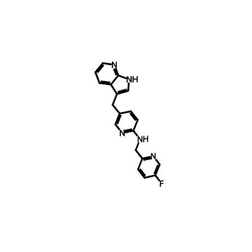 Fc1ccc(CNc2ccc(Cc3c[nH]c4ncccc34)cn2)nc1